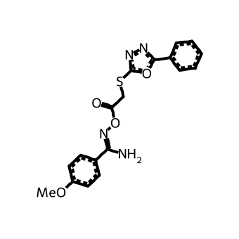 COc1ccc(C(N)=NOC(=O)CSc2nnc(-c3ccccc3)o2)cc1